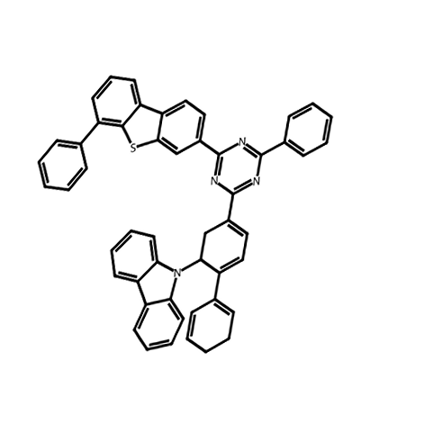 C1=CC(C2=CC=C(c3nc(-c4ccccc4)nc(-c4ccc5c(c4)sc4c(-c6ccccc6)cccc45)n3)CC2n2c3ccccc3c3ccccc32)=CCC1